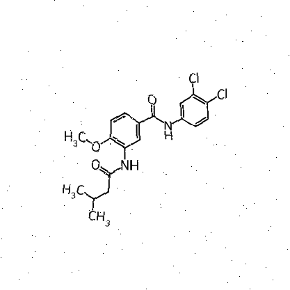 COc1ccc(C(=O)Nc2ccc(Cl)c(Cl)c2)cc1NC(=O)CC(C)C